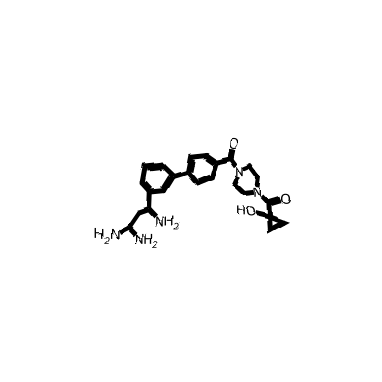 NC(N)CC(N)c1cccc(-c2ccc(C(=O)N3CCN(C(=O)C4(O)CC4)CC3)cc2)c1